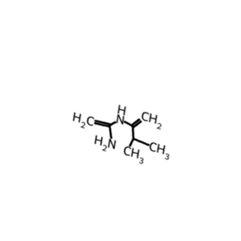 C=C(N)NC(=C)C(C)C